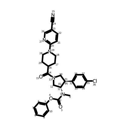 CN(C(=O)Oc1ccccc1)[C@@H]1CN(C(=O)C2CCN(c3ccc(C#N)cn3)CC2)C[C@H]1c1ccc(Cl)cc1